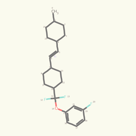 CC1CCC(/C=C/C2CCC(C(F)(F)Oc3cccc(F)c3)CC2)CC1